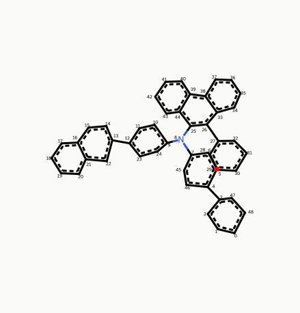 c1ccc(-c2ccc(N(c3ccc(-c4ccc5ccccc5c4)cc3)c3c(-c4ccccc4)c4ccccc4c4ccccc34)cc2)cc1